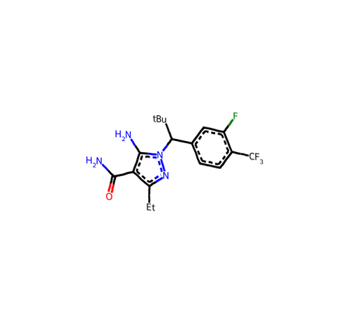 CCc1nn(C(c2ccc(C(F)(F)F)c(F)c2)C(C)(C)C)c(N)c1C(N)=O